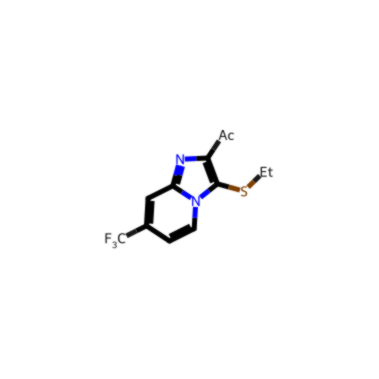 CCSc1c(C(C)=O)nc2cc(C(F)(F)F)ccn12